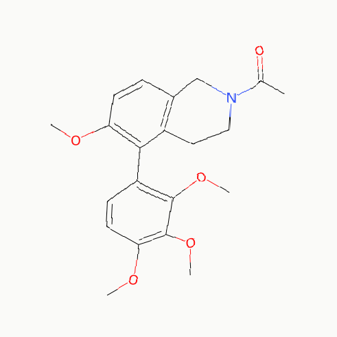 COc1ccc(-c2c(OC)ccc3c2CCN(C(C)=O)C3)c(OC)c1OC